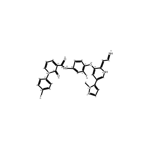 Cn1nccc1C1=CN/C(=C\C=N)C(Oc2ccc(NC(=O)c3cccn(-c4ccc(F)cc4)c3=O)cc2F)=C1